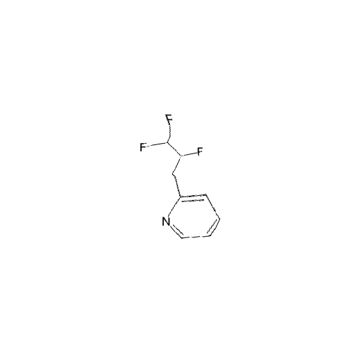 FC(F)C(F)Cc1ccccn1